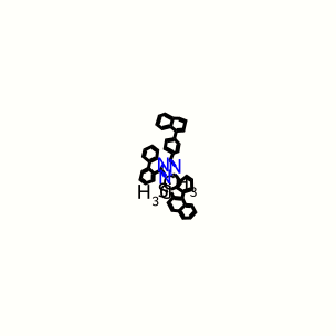 C[Si]1(C)c2ccc3ccccc3c2-c2cccc(-c3nc(-c4ccc(-c5cccc6ccccc56)cc4)nc(-c4ccccc4-c4ccccc4)n3)c21